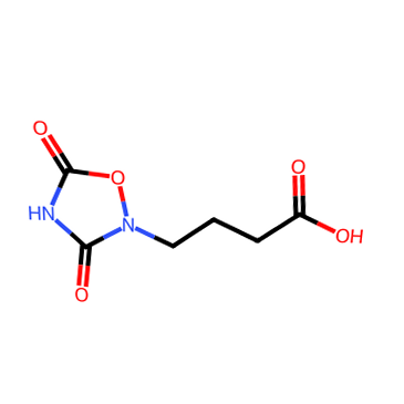 O=C(O)CCCn1oc(=O)[nH]c1=O